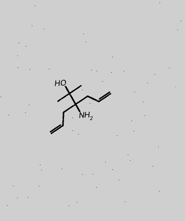 C=CCC(N)(CC=C)C(C)(C)O